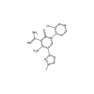 Cn1ccc(-c2cn(-c3ccncc3Cl)c(=O)c(C(=N)N)c2N)n1